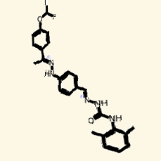 C/C(=N\Nc1ccc(/C=N/NC(=O)Nc2c(C)cccc2C)cc1)c1ccc(OC(F)F)cc1